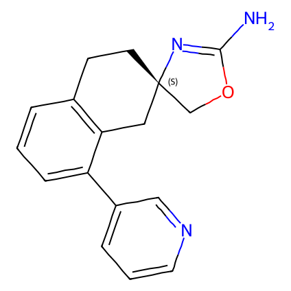 NC1=N[C@]2(CCc3cccc(-c4cccnc4)c3C2)CO1